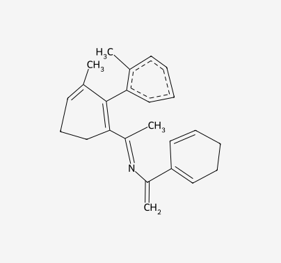 C=C(/N=C(\C)C1=C(c2ccccc2C)C(C)=CCC1)C1=CCCC=C1